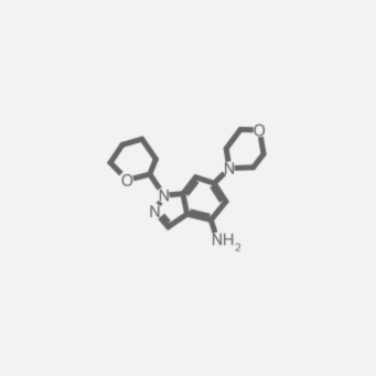 Nc1cc(N2CCOCC2)cc2c1cnn2C1CCCCO1